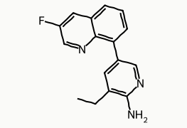 CCc1cc(-c2cccc3cc(F)cnc23)cnc1N